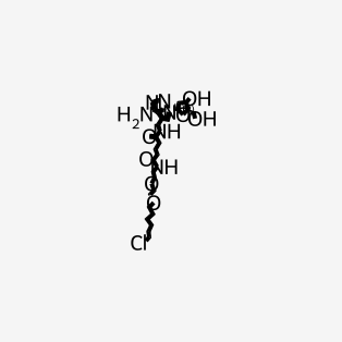 Nc1ncnc2c1c(CNC(=O)CCCC(=O)NCCOCCOCCCCCCCl)cn2[C@H]1CC(O)[C@@H](CO)O1